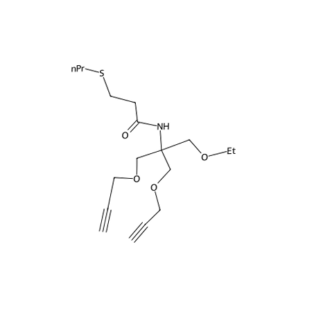 C#CCOCC(COCC)(COCC#C)NC(=O)CCSCCC